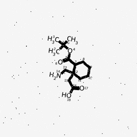 CC(C)(C)OC(=O)C1CCCCC1(CN)CC(=O)O